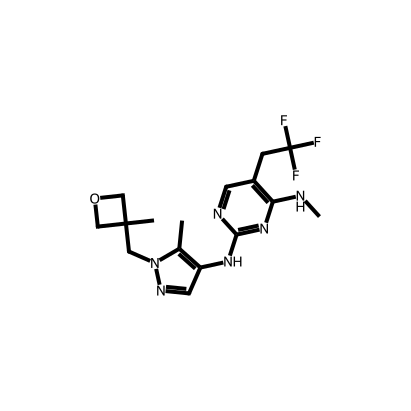 CNc1nc(Nc2cnn(CC3(C)COC3)c2C)ncc1CC(F)(F)F